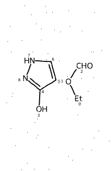 CCOC=O.Oc1cc[nH]n1